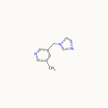 Cc1[c]ncc(Cn2ccnc2)c1